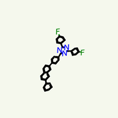 Fc1ccc(-c2nc(-c3ccc(F)cc3)nc(-c3ccc(-c4ccc5ccc(-c6ccccc6)cc5c4)cc3)n2)cc1